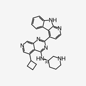 c1ccc2c(c1)[nH]c1nccc(-c3nc(N[C@@H]4CCCNC4)c4c(C5CCC5)cncc4n3)c12